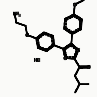 COc1ccc(-c2nc(C(=O)CC(C)C)oc2-c2ccc(OCCN)cc2)cc1.Cl